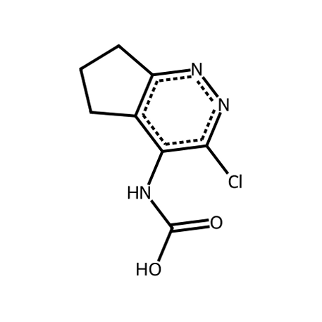 O=C(O)Nc1c(Cl)nnc2c1CCC2